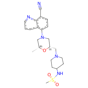 C[C@@H]1CN(c2ccc(C#N)c3ncccc23)C[C@H](CN2CCC(NS(C)(=O)=O)CC2)O1